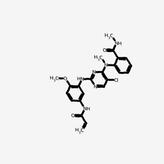 C=CC(=O)Nc1ccc(OC)c(Nc2ncc(Cl)c(N(C)c3ccccc3C(=O)NC)n2)c1